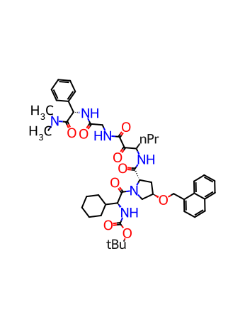 CCCC(NC(=O)[C@@H]1C[C@@H](OCc2cccc3ccccc23)CN1C(=O)[C@@H](NC(=O)OC(C)(C)C)C1CCCCC1)C(=O)C(=O)NCC(=O)N[C@H](C(=O)N(C)C)c1ccccc1